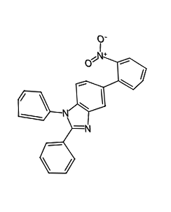 O=[N+]([O-])c1ccccc1-c1ccc2c(c1)nc(-c1ccccc1)n2-c1ccccc1